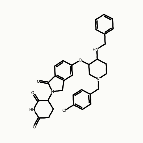 O=C1CCC(N2Cc3cc(OC4CN(Cc5ccc(Cl)cc5)CCC4NCc4ccccc4)ccc3C2=O)C(=O)N1